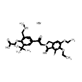 Br.CCOc1cc2c(c(F)c1OCC)C(=N)N(CC(=O)c1cc(CNC)c(OCC(=O)O)c(C(C)(C)C)c1)C2